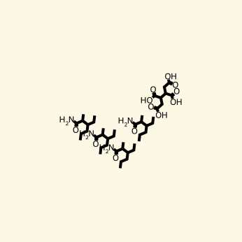 CCCC(CC)C(C)C(N)=O.CCCC(CC)C(C)C(N)=O.CCCC(CC)C(C)C(N)=O.CCCC(CC)C(C)C(N)=O.O=C(O)CC(C(=O)O)C(CC(=O)O)C(=O)O